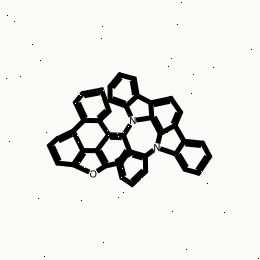 c1ccc(-n2c3ccccc3c3ccc4c5ccccc5n(-c5ccc6oc7cccc8c9ccccc9c5c6c78)c4c32)cc1